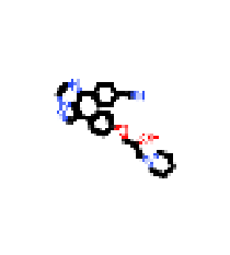 N#CC1CC=C(c2nccn3ncc(-c4ccc(OCC(O)CN5CCCCC5)cc4)c23)CC1